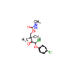 CNC(=O)OCC(C)(C)C(=O)C(Br)Oc1ccc(Cl)cc1